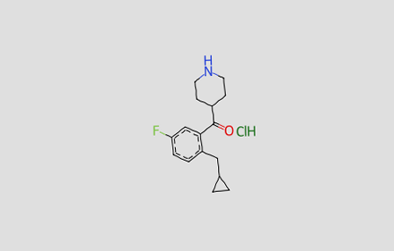 Cl.O=C(c1cc(F)ccc1CC1CC1)C1CCNCC1